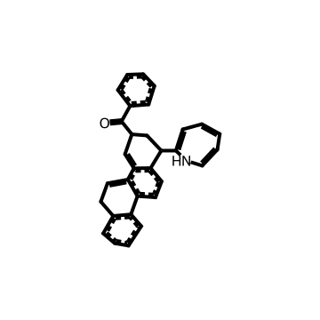 O=C(c1ccccc1)C1C=c2c(ccc3c2=CCc2ccccc2-3)C(C2=CC=CC=CN2)C1